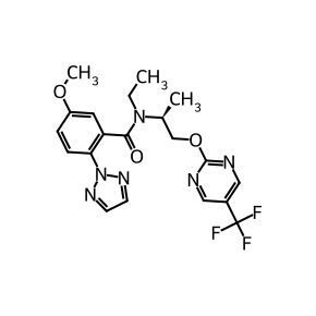 CCN(C(=O)c1cc(OC)ccc1-n1nccn1)[C@@H](C)COc1ncc(C(F)(F)F)cn1